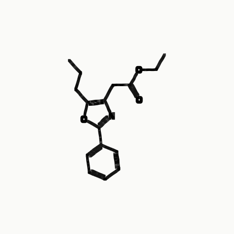 CCCc1oc(-c2ccccc2)nc1CC(=O)OCC